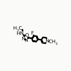 CCNc1nnc(-c2ccc(C3=CCN(C)CC3)cc2F)o1